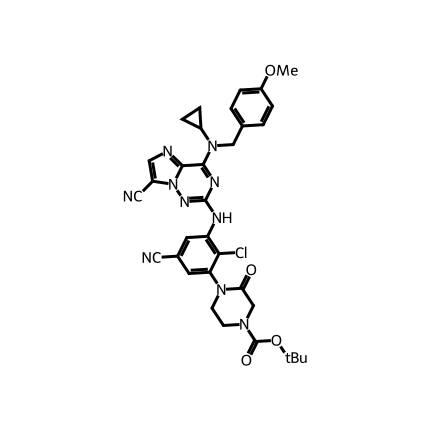 COc1ccc(CN(c2nc(Nc3cc(C#N)cc(N4CCN(C(=O)OC(C)(C)C)CC4=O)c3Cl)nn3c(C#N)cnc23)C2CC2)cc1